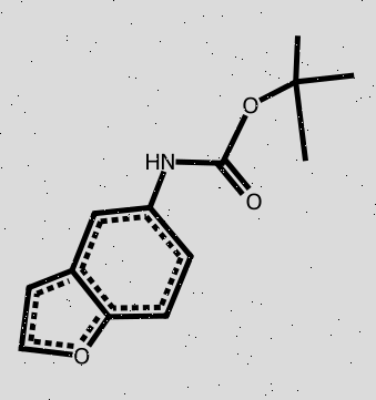 CC(C)(C)OC(=O)Nc1ccc2occc2c1